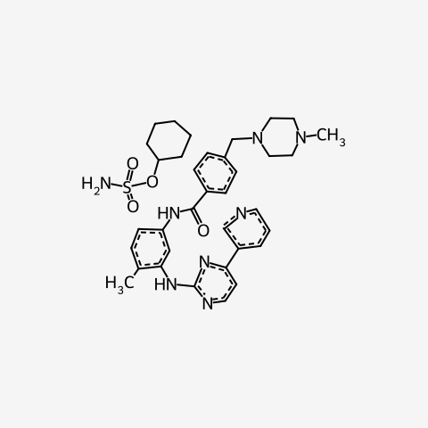 Cc1ccc(NC(=O)c2ccc(CN3CCN(C)CC3)cc2)cc1Nc1nccc(-c2cccnc2)n1.NS(=O)(=O)OC1CCCCC1